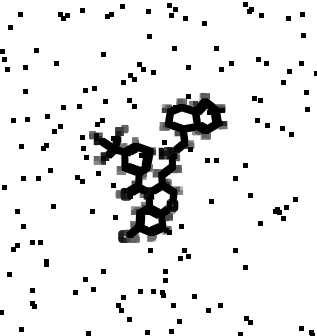 O=C(c1cccc(C(F)(F)F)c1)N1c2cc(Cl)ccc2OCC1CCNCC1CCCc2ccccc21